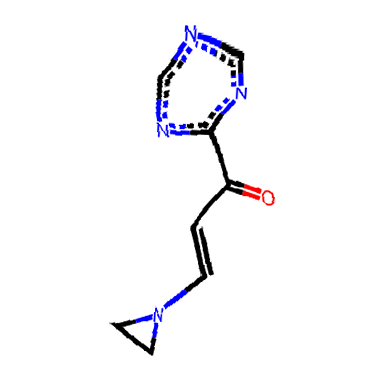 O=C(C=CN1CC1)c1ncncn1